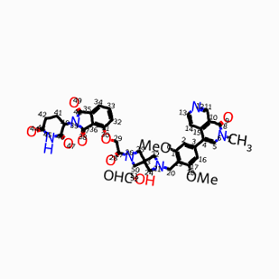 COc1cc(-c2cn(C)c(=O)c3cnccc23)cc(OC)c1CN1CC2(C1)CN(C(=O)COc1cccc3c1C(=O)N(C1CCC(=O)NC1=O)C3=O)C2.O=CO